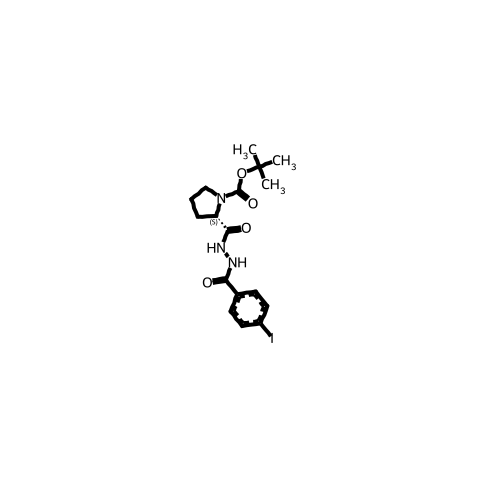 CC(C)(C)OC(=O)N1CCC[C@H]1C(=O)NNC(=O)c1ccc(I)cc1